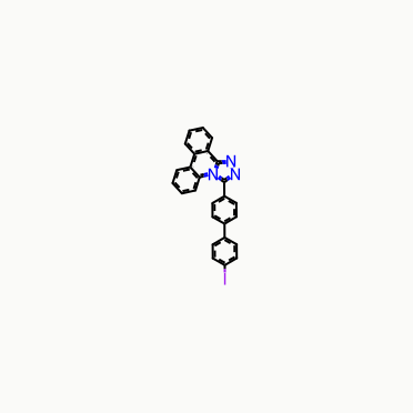 Ic1ccc(-c2ccc(-c3nnc4c5ccccc5c5ccccc5n34)cc2)cc1